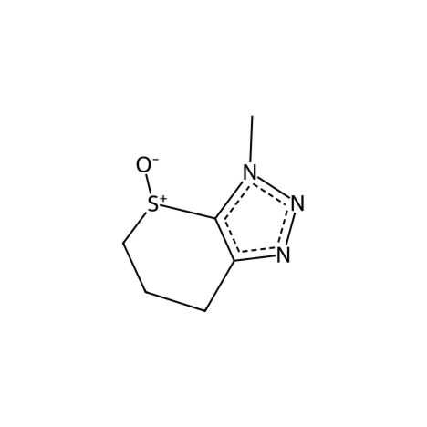 Cn1nnc2c1[S+]([O-])CCC2